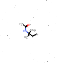 CC(C)CC(C)(NC(=O)C(F)(F)F)C(=O)O